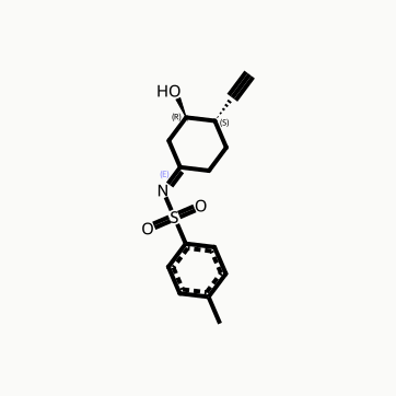 C#C[C@@H]1CC/C(=N\S(=O)(=O)c2ccc(C)cc2)C[C@H]1O